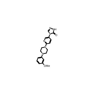 COc1cccc(N2CCN(c3ccc(-n4cn[nH]c4=O)cn3)CC2)c1